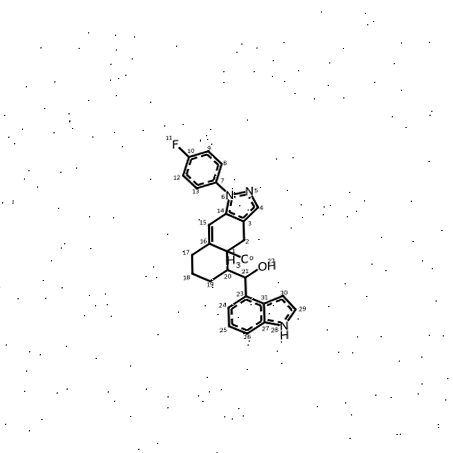 CC12Cc3cnn(-c4ccc(F)cc4)c3C=C1CCCC2C(O)c1cccc2[nH]ccc12